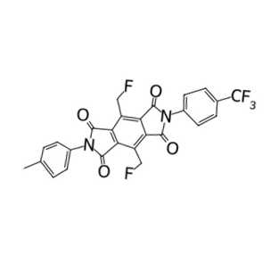 Cc1ccc(-n2c(=O)c3c(CF)c4c(=O)n(-c5ccc(C(F)(F)F)cc5)c(=O)c4c(CF)c3c2=O)cc1